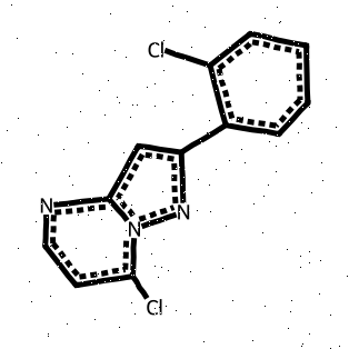 Clc1ccccc1-c1cc2nccc(Cl)n2n1